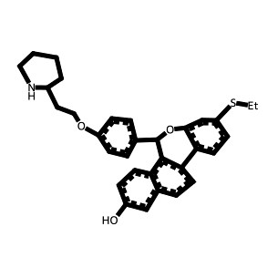 CCSc1ccc2c(c1)OC(c1ccc(OCCC3CCCCN3)cc1)c1c-2ccc2cc(O)ccc12